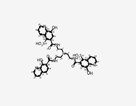 O=C(NCCN(CCNC(=O)c1cc(O)c2ncccc2c1S(=O)(=O)O)CCNC(=O)c1ccc2cccnc2c1O)c1cc(O)c2ncccc2c1S(=O)(=O)O